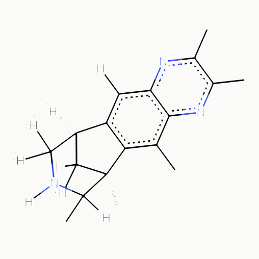 [2H]c1c2c(c(C)c3nc(C)c(C)nc13)[C@@]1(C)C([2H])(C)N([2H])C([2H])([2H])[C@]2([2H])C1([2H])[2H]